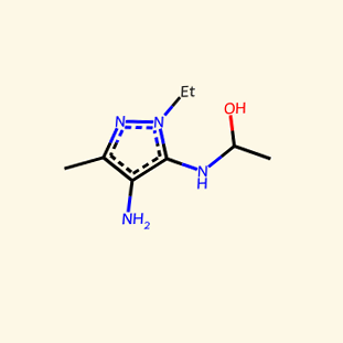 CCn1nc(C)c(N)c1NC(C)O